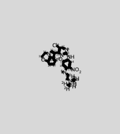 [2H]C([2H])([2H])N(CCN(C)c1cc(OC)c(Nc2ncc(Cl)c(-c3cn4c5c(cccc35)OCC4)n2)cc1[N+](=O)[O-])C([2H])([2H])[2H]